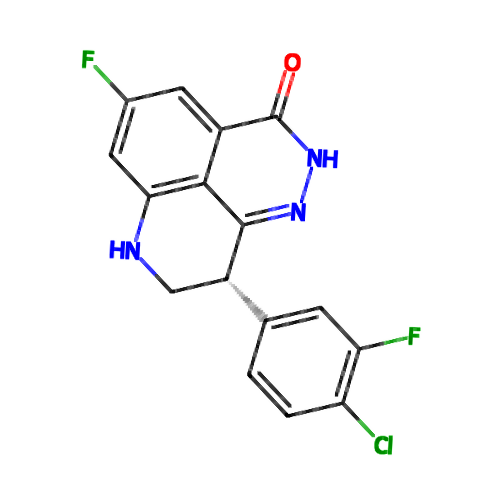 O=c1[nH]nc2c3c(cc(F)cc13)NC[C@H]2c1ccc(Cl)c(F)c1